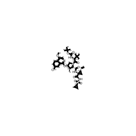 C=C[C@@H]1C[C@]1(NC(=O)[C@@H]1[C@@H](C)[C@@H](Oc2ncc(OC)c3ccc(Cl)cc23)CN1C(=O)[C@@H](NC(=O)OC(C)(C)C)C(C)(C)C)C(=O)NS(=O)(=O)C1CC1